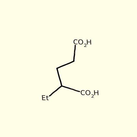 [CH2]CC(CCC(=O)O)C(=O)O